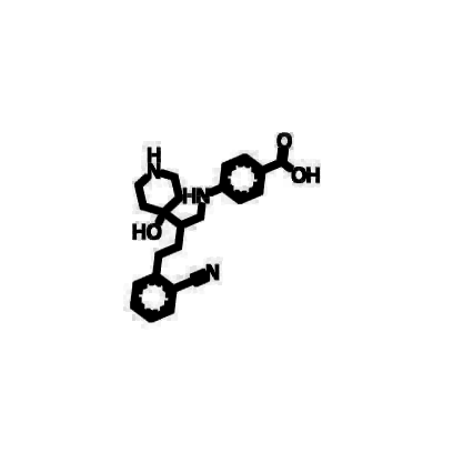 N#Cc1ccccc1CCC(CNc1ccc(C(=O)O)cc1)C1(O)CCNCC1